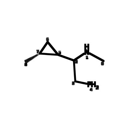 CNC(CP)C1C[C@H]1C